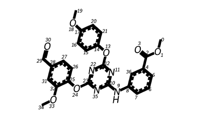 COC(=O)c1cccc(Nc2nc(Oc3ccc(OC)cc3)nc(Oc3ccc(C=O)cc3OC)n2)c1